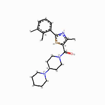 Cc1cccc(-c2nc(C)c(C(=O)N3CCC(N4CCCCC4)CC3)s2)c1C